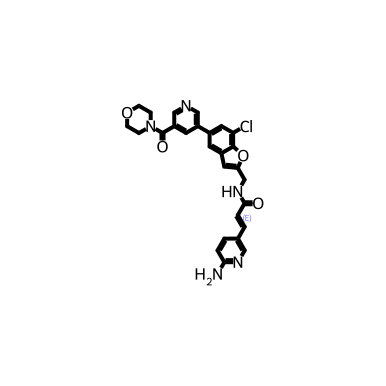 Nc1ccc(/C=C/C(=O)NCc2cc3cc(-c4cncc(C(=O)N5CCOCC5)c4)cc(Cl)c3o2)cn1